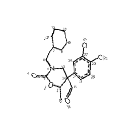 CC1OC(=O)N(CC2CCCCC2)CC1(C=O)c1ccc(Cl)c(Cl)c1